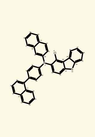 Clc1c(N(c2ccc(-c3cccc4ccccc34)cc2)c2ccc3ccccc3c2)ccc2sc3ccccc3c12